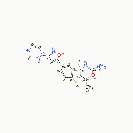 C[C@@]1(c2cc(-c3cc(-c4ccncn4)no3)ccc2F)C[C@@H](C(F)(F)F)OC(N)=N1